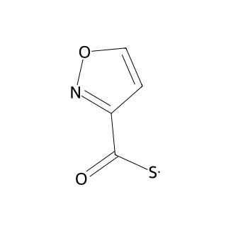 O=C([S])c1ccon1